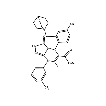 COC(=O)C1=C(C)N(c2cccc(C(F)(F)F)c2)c2n[nH]c(=O)n2C1c1ccc(C#N)cc1C[N+]12CCC(CC1)CC2